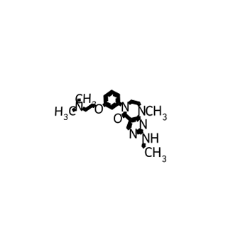 CCNc1ncc2c(n1)N(C)CCN(c1cccc(OCCN(C)C)c1)C2=O